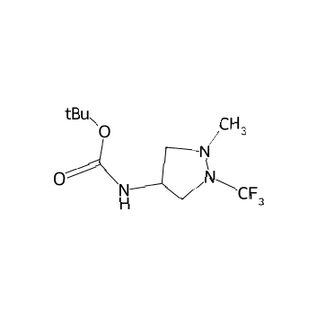 CN1CC(NC(=O)OC(C)(C)C)CN1C(F)(F)F